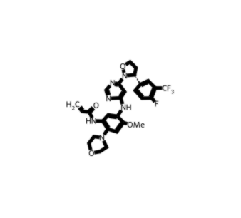 C=CC(=O)Nc1cc(Nc2cc(N3OCC[C@@H]3c3ccc(F)c(C(F)(F)F)c3)ncn2)c(OC)cc1N1CCOCC1